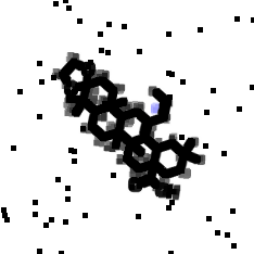 C/C=C\C1=C2C3CC(C)(C)CCC3(C(=O)O)CCC2(C)C2(C)CCC3C(C)(CCC4(OCCO4)C3(C)C)C2C1